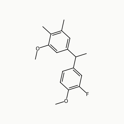 COc1ccc(C(C)c2cc(C)c(C)c(OC)c2)cc1F